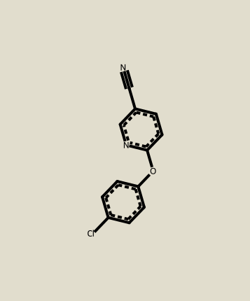 N#Cc1ccc(Oc2ccc(Cl)cc2)nc1